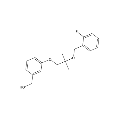 CC(C)(COc1cccc(CO)c1)OCc1ccccc1F